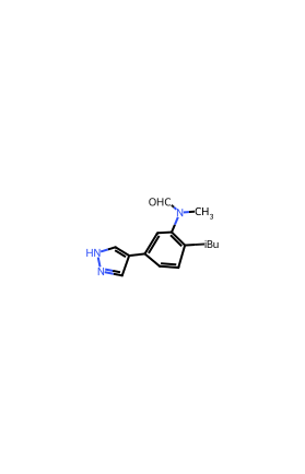 CCC(C)c1ccc(-c2cn[nH]c2)cc1N(C)C=O